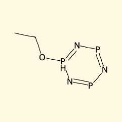 CCO[PH]1=NP=NP=N1